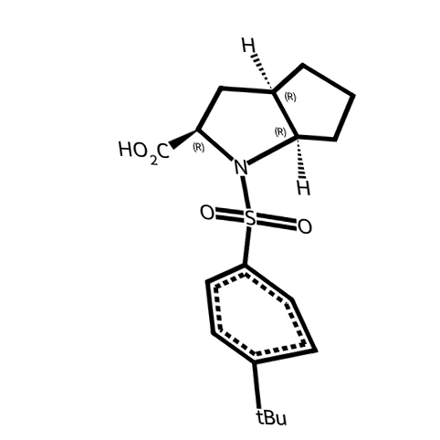 CC(C)(C)c1ccc(S(=O)(=O)N2[C@@H](C(=O)O)C[C@H]3CCC[C@H]32)cc1